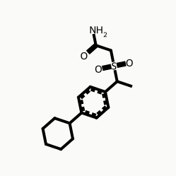 CC(c1ccc(C2CCCCC2)cc1)S(=O)(=O)CC(N)=O